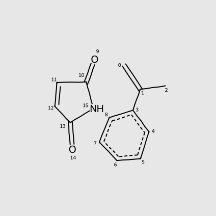 C=C(C)c1ccccc1.O=C1C=CC(=O)N1